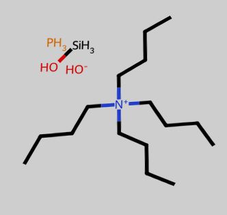 CCCC[N+](CCCC)(CCCC)CCCC.O[SiH3].P.[OH-]